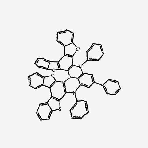 c1ccc(-c2cc3c4c(c2)N(c2ccccc2)c2c(c5oc6ccccc6c5c5c2sc2ccccc25)B4c2c(c4oc5ccccc5c4c4c2oc2ccccc24)N3c2ccccc2)cc1